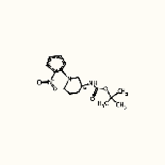 CC(C)(C)OC(=O)N[C@H]1CCCN(c2ccccc2[N+](=O)[O-])C1